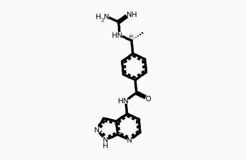 C[C@@H](NC(=N)N)c1ccc(C(=O)Nc2ccnc3[nH]ncc23)cc1